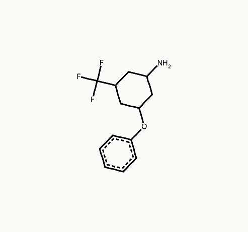 NC1CC(Oc2ccccc2)CC(C(F)(F)F)C1